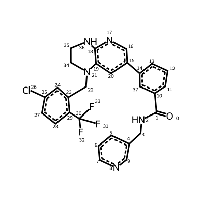 O=C(NCc1cccnc1)c1cccc(-c2cnc3c(c2)N(Cc2cc(Cl)ccc2C(F)(F)F)CCN3)c1